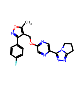 Cc1onc(-c2ccc(F)cc2)c1COc1cnc(-c2nnc3n2CCC3)cn1